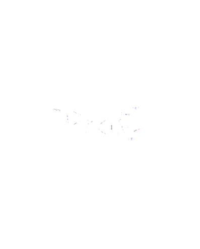 C#Cc1cnc(/C(F)=C/c2ccc(F)c([C@@]3(C)N=C(N)SC4(C(=O)NC)C=C43)c2)cn1